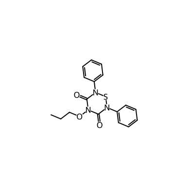 CCCON1C(=O)N(c2ccccc2)SN(c2ccccc2)C1=O